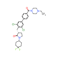 O=C(c1ccc(-c2cc(Cl)c(C[C@@H]3CCN(C4CCC(F)(F)CC4)C3=O)c(Cl)c2)cc1)N1CCN(CC(F)(F)F)CC1